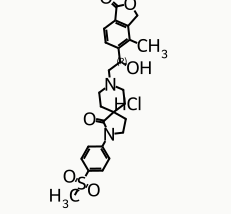 Cc1c([C@@H](O)CN2CCC3(CC2)CCN(c2ccc(S(C)(=O)=O)cc2)C3=O)ccc2c1COC2=O.Cl